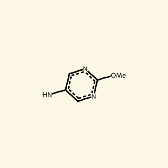 COc1ncc([NH])cn1